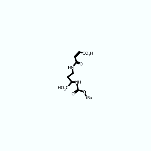 CC(C)(C)OC(=O)NC(CCNC(=O)/C=C\C(=O)O)C(=O)O